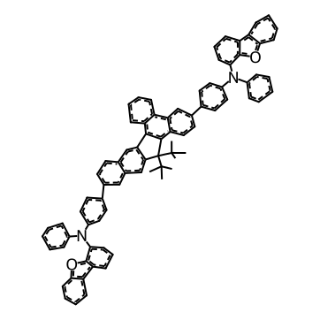 CC(C)(C)C1(C(C)(C)C)c2cc3cc(-c4ccc(N(c5ccccc5)c5cccc6c5oc5ccccc56)cc4)ccc3cc2-c2c1c1ccc(-c3ccc(N(c4ccccc4)c4cccc5c4oc4ccccc45)cc3)cc1c1ccccc21